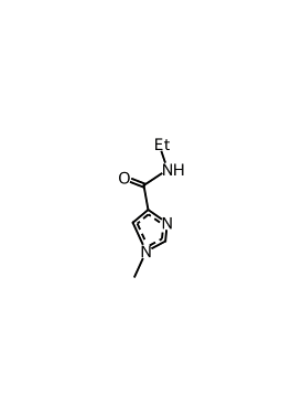 CCNC(=O)c1cn(C)cn1